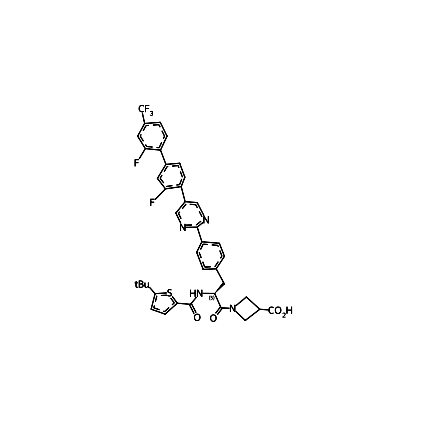 CC(C)(C)c1ccc(C(=O)N[C@@H](Cc2ccc(-c3ncc(-c4ccc(-c5ccc(C(F)(F)F)cc5F)cc4F)cn3)cc2)C(=O)N2CC(C(=O)O)C2)s1